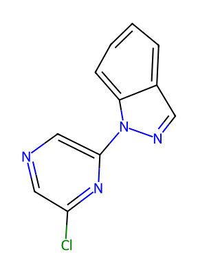 Clc1cncc(-n2ncc3ccccc32)n1